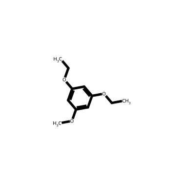 CCOc1cc(OC)cc(OCC)c1